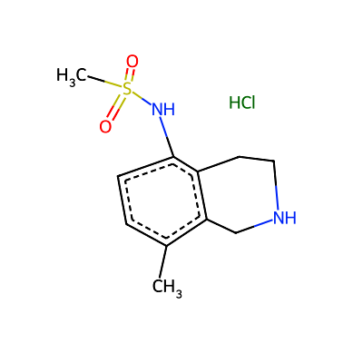 Cc1ccc(NS(C)(=O)=O)c2c1CNCC2.Cl